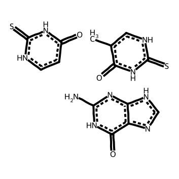 Cc1c[nH]c(=S)[nH]c1=O.Nc1nc2[nH]cnc2c(=O)[nH]1.O=c1cc[nH]c(=S)[nH]1